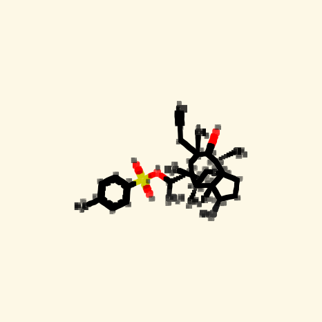 C#CC[C@@]1(C)C[C@@H](C(OS(=O)(=O)c2ccc(C)cc2)C(=O)O)[C@@]2(C)[C@H](C)CC[C@]3(CC[C@@H](OC)[C@@H]32)[C@@H](C)C1=O